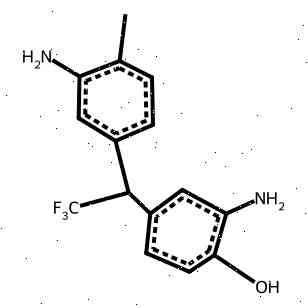 Cc1ccc(C(c2ccc(O)c(N)c2)C(F)(F)F)cc1N